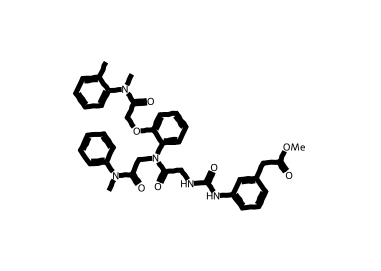 COC(=O)Cc1cccc(NC(=O)NCC(=O)N(CC(=O)N(C)c2ccccc2)c2ccccc2OCC(=O)N(C)c2ccccc2C)c1